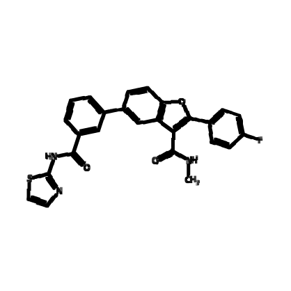 CNC(=O)c1c(-c2ccc(F)cc2)oc2ccc(-c3cccc(C(=O)Nc4nccs4)c3)cc12